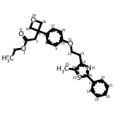 CCOC(=O)CC1(c2ccc(OCCc3nc(-c4ccccc4)sc3C)cc2)COC1